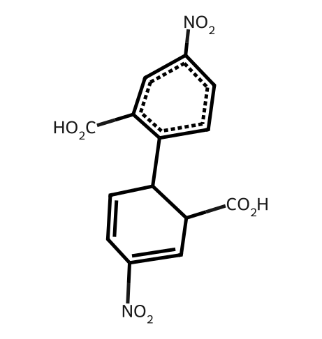 O=C(O)c1cc([N+](=O)[O-])ccc1C1C=CC([N+](=O)[O-])=CC1C(=O)O